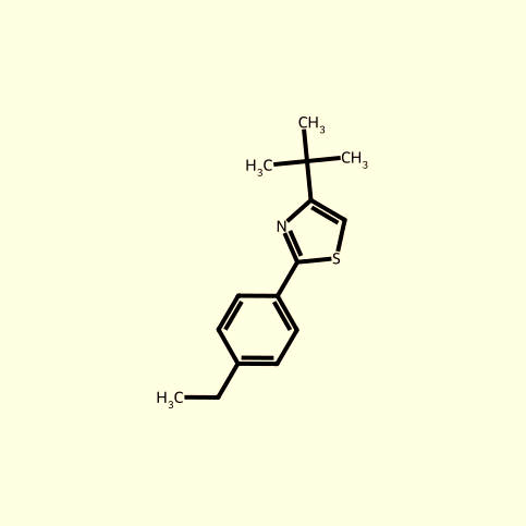 CCc1ccc(-c2nc(C(C)(C)C)cs2)cc1